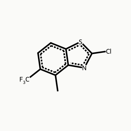 Cc1c(C(F)(F)F)ccc2sc(Cl)nc12